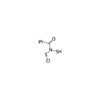 CC(C)C(=O)N(S)SCl